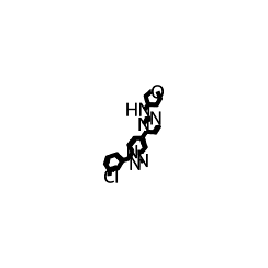 Clc1cccc(-c2nnc3cc(-c4ccnc(NC5CCOCC5)n4)ccn23)c1